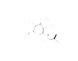 C=C(C)CS(=O)(=O)C1O[C@H](COC(C)=O)[C@@H](OC(C)=O)C(OC(C)=O)[C@H]1OC(C)=O